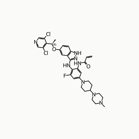 C=CC(=O)Nc1cc(N2CCC(N3CCN(C)CC3)CC2)cc(F)c1Nc1n[nH]c2ccc(O[C@H](C)c3c(Cl)cncc3Cl)cc12